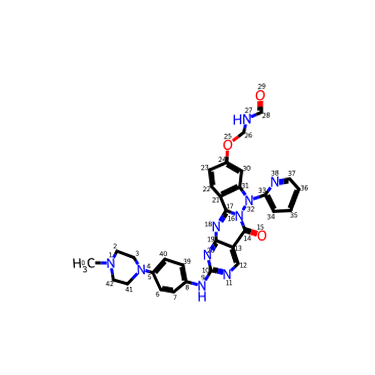 CN1CCN(c2ccc(Nc3ncc4c(=O)n5c(nc4n3)c3ccc(OCNC=O)cc3n5-c3ccccn3)cc2)CC1